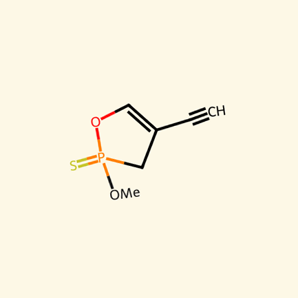 C#CC1=COP(=S)(OC)C1